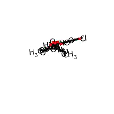 COC(=O)C1CN(c2ccc3c(c2)Oc2cc(N4CC(C(=O)OC)C4)ccc2C32C(=N)C(=O)c3ccc(CNCCOCCOCCCCCCCl)cc32)C1